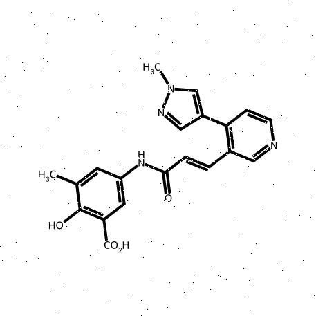 Cc1cc(NC(=O)C=Cc2cnccc2-c2cnn(C)c2)cc(C(=O)O)c1O